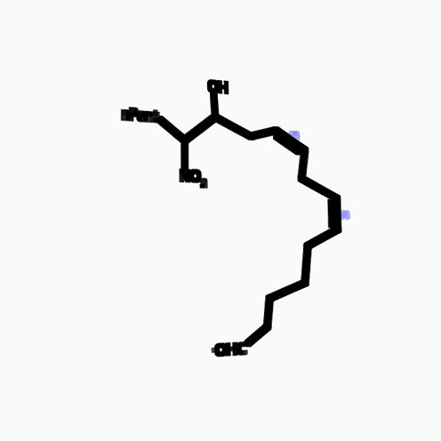 CCCCCC(C(O)C/C=C\C/C=C\CCCC[C]=O)[N+](=O)[O-]